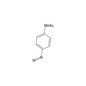 CC(=O)Nc1ccc(N=[N])cc1